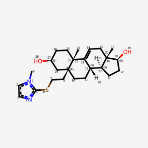 Cn1ccnc1SCC[C@]12CC[C@@H]3C(=CC[C@]4(C)[C@@H](O)CC[C@@H]34)[C@@]1(C)CC[C@H](O)C2